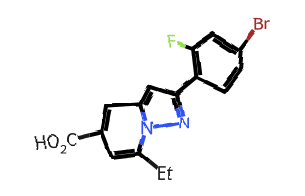 CCc1cc(C(=O)O)cc2cc(-c3ccc(Br)cc3F)nn12